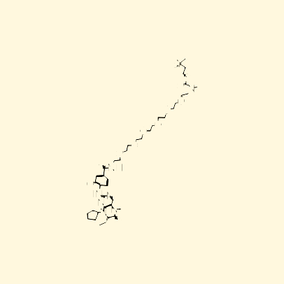 CC[C@@H]1C(=O)N(C)c2cnc(Nc3ccc(C(=O)NCCOCCOCCOCCOCCOCCOCCN(C)C(=O)OCC[Si](C)(C)C)cc3OC)nc2N1C1CCCC1